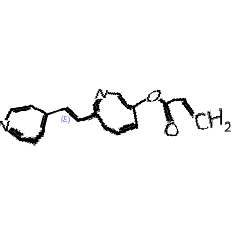 C=CC(=O)Oc1ccc(/C=C/c2ccncc2)nc1